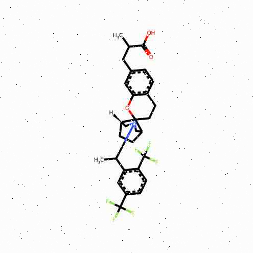 CC(Cc1ccc2c(c1)OC1(CC2)C2CC[C@H]1CN(C(C)c1cc(C(F)(F)F)ccc1C(F)(F)F)C2)C(=O)O